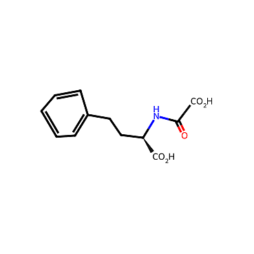 O=C(O)C(=O)N[C@H](CCc1ccccc1)C(=O)O